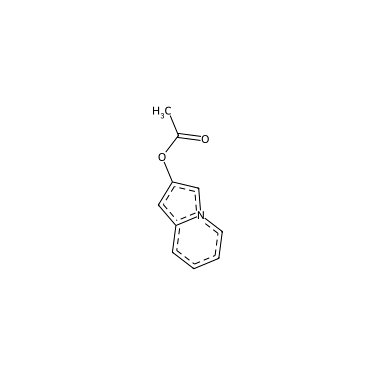 CC(=O)Oc1cc2ccccn2c1